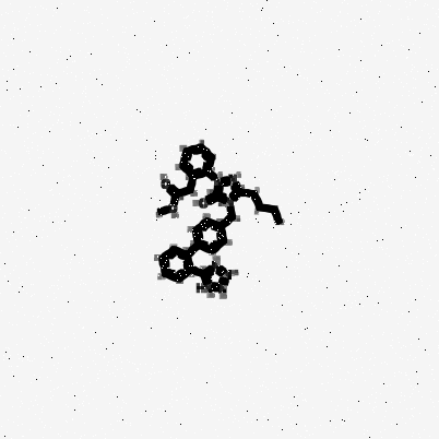 CCCCc1nn(-c2ccccc2CC(=O)OC)c(=O)n1Cc1ccc(-c2ccccc2-c2nnn[nH]2)cc1